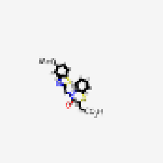 COc1ccc2sc(CN3C(=O)C(CC(=O)O)Sc4ccccc43)nc2c1